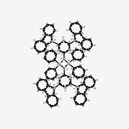 c1ccc([Si]2(c3ccccc3)N(c3nc(-n4c5ccccc5c5ccccc54)nc(-n4c5ccccc5c5ccccc54)n3)[Si](c3ccccc3)(c3ccccc3)N2c2nc(-n3c4ccccc4c4ccccc43)nc(-n3c4ccccc4c4ccccc43)n2)cc1